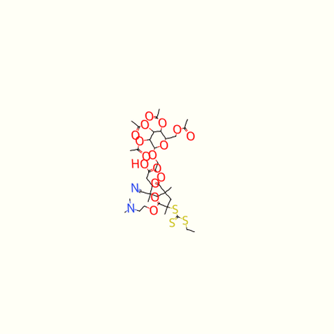 CCSC(=S)SC(C)(CC(C)(CC(C)(C#N)CCC(=O)O)C(=O)OCCOC1OC(COC(C)=O)C(OC(C)=O)C(OC(C)=O)C1OC(C)=O)C(=O)OCCN(C)C